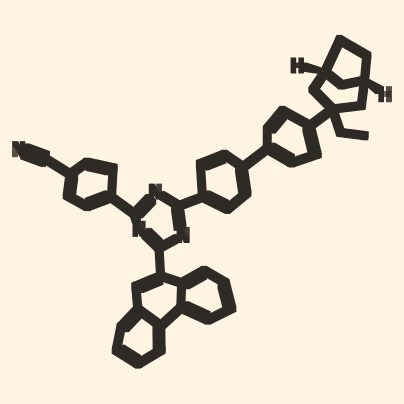 CCC1(c2ccc(-c3ccc(-c4nc(-c5ccc(C#N)cc5)nc(-c5cc6ccccc6c6ccccc56)n4)cc3)cc2)C[C@@H]2CC[C@@H](C2)C1